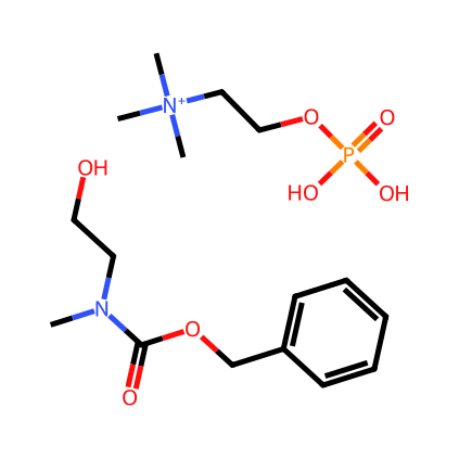 CN(CCO)C(=O)OCc1ccccc1.C[N+](C)(C)CCOP(=O)(O)O